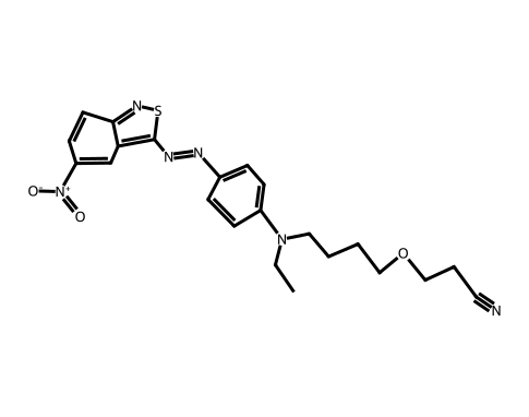 CCN(CCCCOCCC#N)c1ccc(N=Nc2snc3ccc([N+](=O)[O-])cc23)cc1